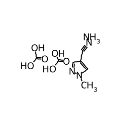 Cn1cc(C#N)cn1.N.O=C(O)O.O=C(O)O